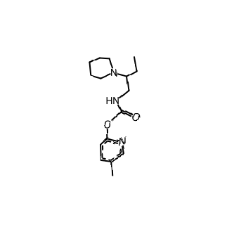 CCC(CNC(=O)Oc1ccc(C)cn1)N1CCCCC1